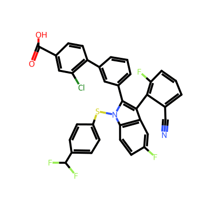 N#Cc1cccc(F)c1-c1c(-c2cccc(-c3ccc(C(=O)O)cc3Cl)c2)n(Sc2ccc(C(F)F)cc2)c2ccc(F)cc12